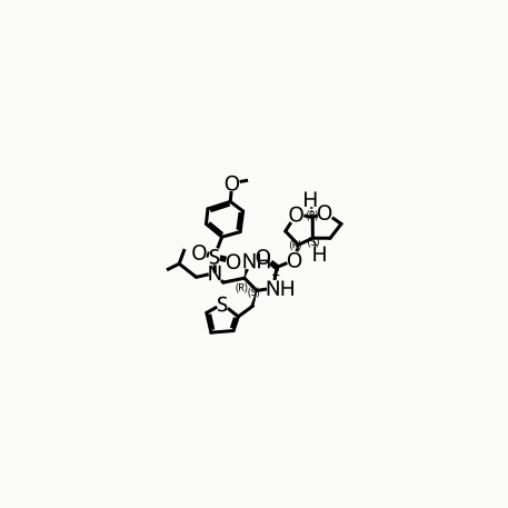 COc1ccc(S(=O)(=O)N(CC(C)C)C[C@@H](N)[C@H](Cc2cccs2)NC(=O)O[C@H]2CO[C@H]3OCC[C@H]32)cc1